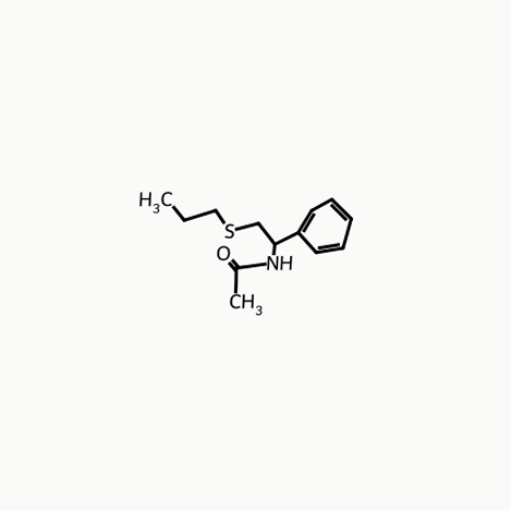 CCCSCC(NC(C)=O)c1ccccc1